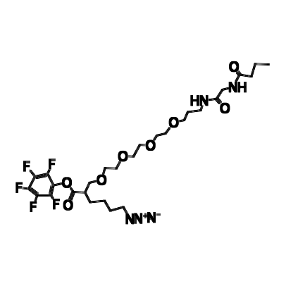 CCCC(=O)NCC(=O)NCCCOCCOCCOCCOCC(CCCCN=[N+]=[N-])C(=O)Oc1c(F)c(F)c(F)c(F)c1F